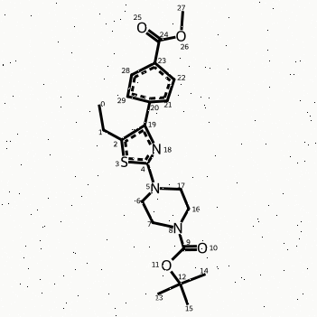 CCc1sc(N2CCN(C(=O)OC(C)(C)C)CC2)nc1-c1ccc(C(=O)OC)cc1